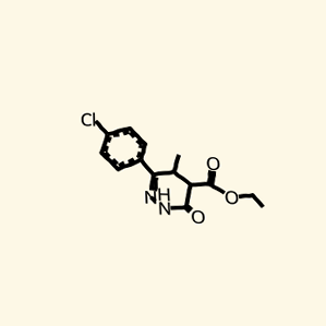 CCOC(=O)C1C(=O)NN=C(c2ccc(Cl)cc2)C1C